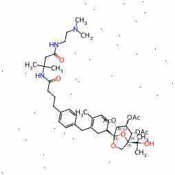 CC(=O)O[C@@H]1[C@@H](OC(C)=O)[C@@]2(C3C=CC(C)=C(Cc4ccc(CCCC(=O)NC(C)(C)CC(=O)NCCN(C)C)cc4)C3)OC[C@](C(C)(C)O)(O2)[C@H]1OC(C)=O